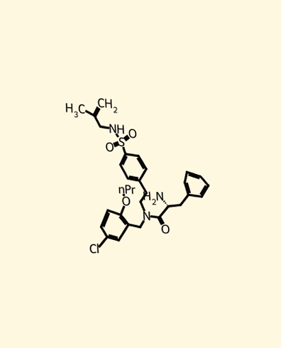 C=C(C)CNS(=O)(=O)c1ccc(CCN(Cc2cc(Cl)ccc2OCCC)C(=O)[C@H](N)Cc2ccccc2)cc1